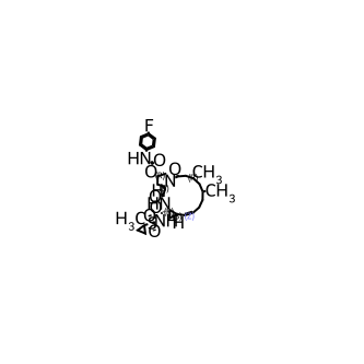 CC1CC/C=C\[C@@H]2C[C@@]2(C(=O)NS(=O)(=O)C2(C)CC2)NC(=O)[C@@H]2C[C@@H](OC(=O)Nc3ccc(F)cc3)CN2C(=O)C[C@H](C)C1